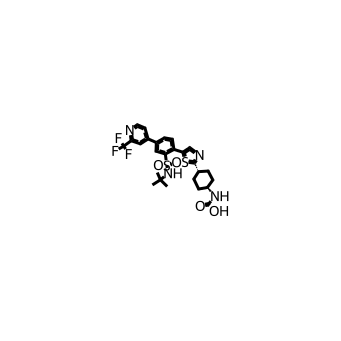 CC(C)(C)NS(=O)(=O)c1cc(-c2ccnc(C(F)(F)F)c2)ccc1-c1cnc([C@H]2CC[C@H](NC(=O)O)CC2)s1